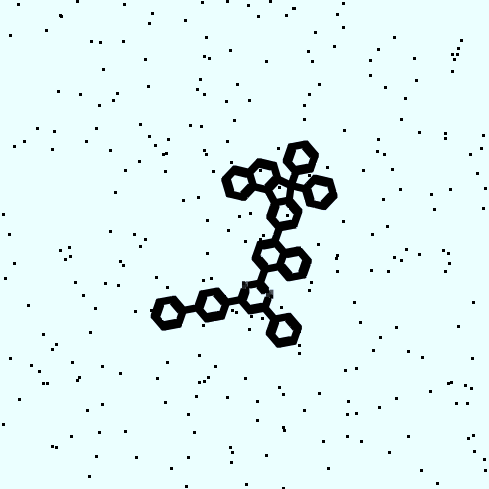 c1ccc(-c2ccc(-c3cc(-c4ccccc4)nc(-c4ccc(-c5ccc6c(c5)-c5c(ccc7ccccc57)C6(c5ccccc5)c5ccccc5)c5ccccc45)n3)cc2)cc1